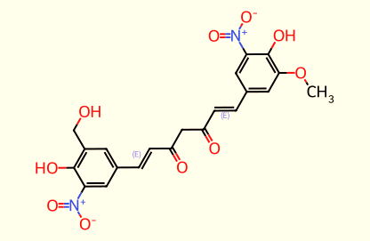 COc1cc(/C=C/C(=O)CC(=O)/C=C/c2cc(CO)c(O)c([N+](=O)[O-])c2)cc([N+](=O)[O-])c1O